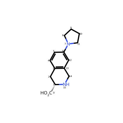 O=C(O)[C@@H]1Cc2ccc(N3CCCC3)cc2CN1